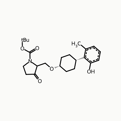 Cc1cccc(O)c1[C@H]1CC[C@@H](OCC2C(=O)CCN2C(=O)OC(C)(C)C)CC1